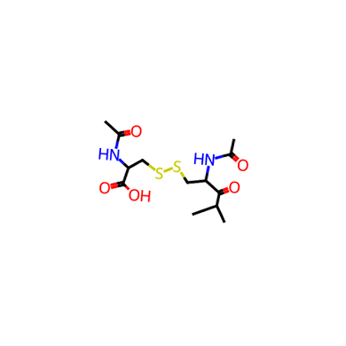 CC(=O)NC(CSSCC(NC(C)=O)C(=O)C(C)C)C(=O)O